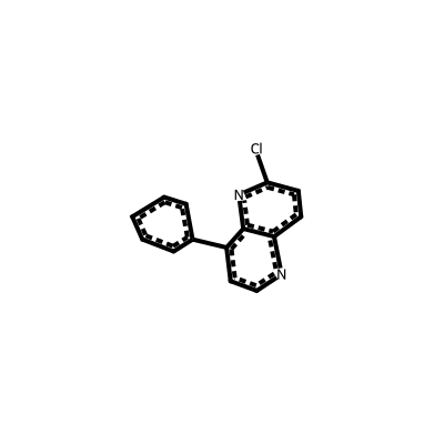 Clc1ccc2nccc(-c3ccccc3)c2n1